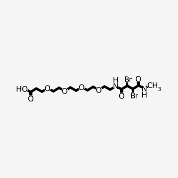 CNC(=O)C(Br)C(Br)C(=O)NCCOCCOCCOCCOCCC(=O)O